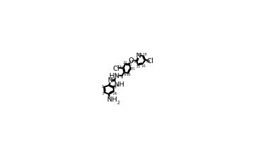 Nc1ccc2nc(NCc3ccc(Oc4ccc(Cl)cn4)cc3Cl)[nH]c2c1